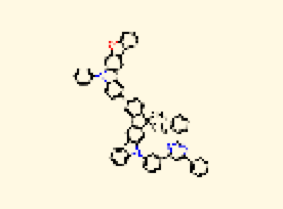 CC1(C)c2ccc(-c3ccc4c(c3)c3cc5c(cc3n4-c3ccccc3)oc3ccccc35)cc2-c2cc3c4ccccc4n(-c4cccc(-c5cc(-c6ccccc6)nc(-c6ccccc6)n5)c4)c3cc21